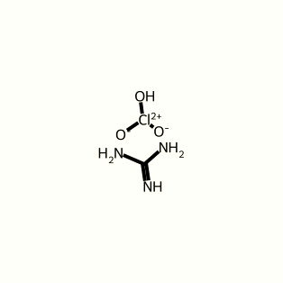 N=C(N)N.[O-][Cl+2]([O-])O